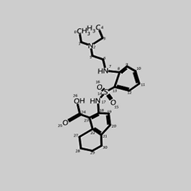 CCN(CC)CCNc1ccccc1S(=O)(=O)Nc1ccc2c(c1C(=O)O)CCCC2